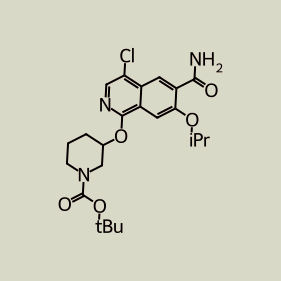 CC(C)Oc1cc2c(OC3CCCN(C(=O)OC(C)(C)C)C3)ncc(Cl)c2cc1C(N)=O